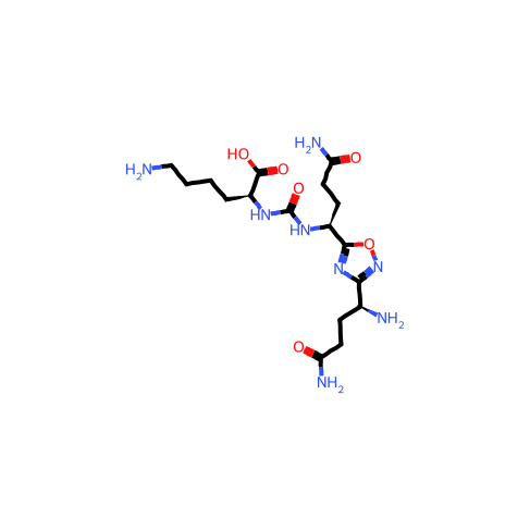 NCCCC[C@H](NC(=O)N[C@@H](CCC(N)=O)c1nc([C@@H](N)CCC(N)=O)no1)C(=O)O